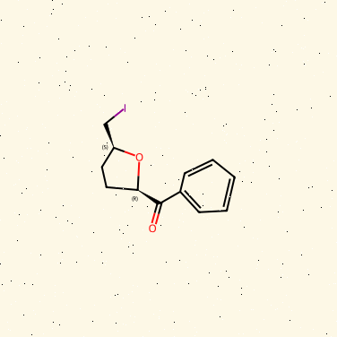 O=C(c1ccccc1)[C@H]1CC[C@@H](CI)O1